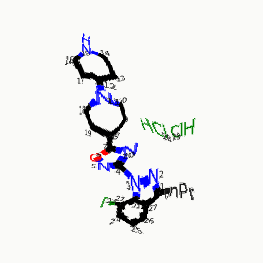 CCCc1nn(-c2noc(C3CCN(C4CCNCC4)CC3)n2)c2c(F)cccc12.Cl.Cl